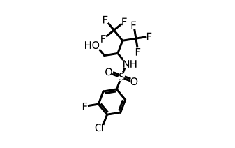 O=S(=O)(NC(CO)C(C(F)(F)F)C(F)(F)F)c1ccc(Cl)c(F)c1